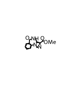 COC(=O)c1ncn2c1CNC(=O)c1ccccc1-2